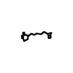 C(CCC1CO1)CCC1CCSS1